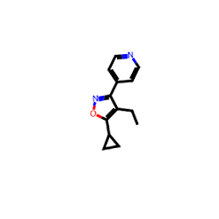 CCc1c(-c2ccncc2)noc1C1CC1